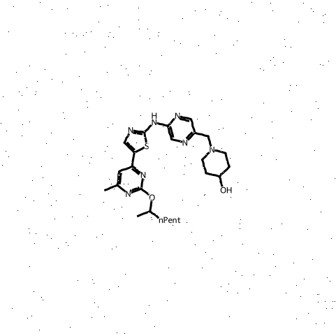 CCCCCC(C)Oc1nc(C)cc(-c2cnc(Nc3cnc(CN4CCC(O)CC4)cn3)s2)n1